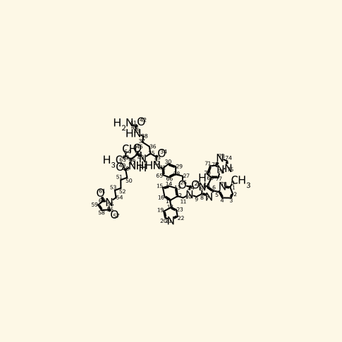 Cc1cccc(-c2nc(CN(Cc3ccccc3-c3ccncc3)C(=O)OCc3ccc(NC(=O)C(CCCNC(N)=O)NC(=O)C(NC(=O)CCCCCN4C(=O)C=CC4=O)C(C)C)cc3)[nH]c2-c2ccc3ncnn3c2)n1